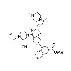 C=CC(=O)N1CCN(c2nc(OCC3(N4CCN(C)CC4)CC3)nc3c2CCN(c2cc(C(=O)OC)cc4ccccc24)C3)C[C@@H]1CC#N